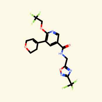 O=C(NCc1nc(C(F)(F)F)no1)c1cnc(OCC(F)(F)F)c(C2=CCOCC2)c1